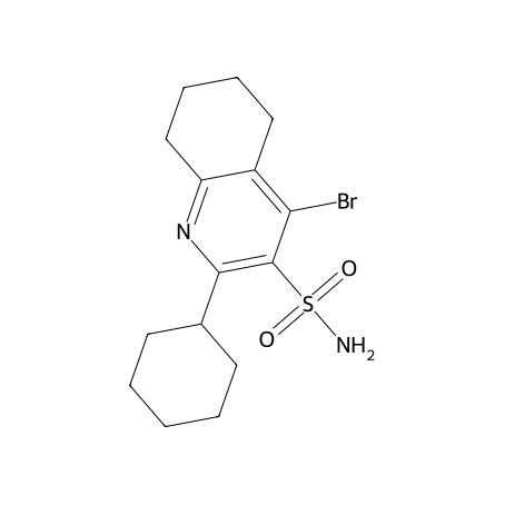 NS(=O)(=O)c1c(C2CCCCC2)nc2c(c1Br)CCCC2